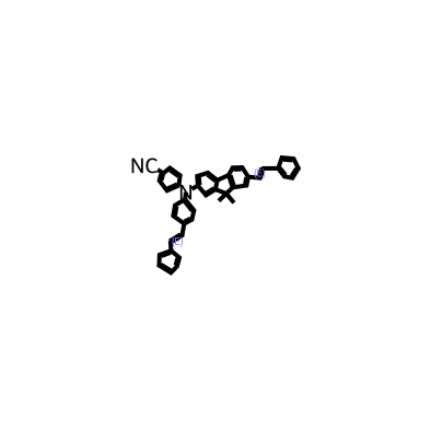 CC1(C)c2cc(/C=C/c3ccccc3)ccc2-c2ccc(N(c3ccc(C#N)cc3)c3ccc(/C=C/c4ccccc4)cc3)cc21